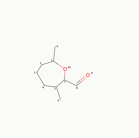 CC1CCCC(C)C(C=O)O1